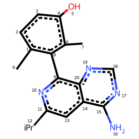 Cc1ccc(O)c(C)c1-c1nc(C(C)C)cc2c(N)ncnc12